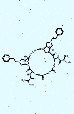 CN[C@@H](C)C(=O)NC1COC(=O)CCC(=O)OC[C@H](NC(=O)[C@H](N)NC)C(=O)N2C[C@@H](OCCO[C@@H]3CN(C1=O)C1CN(CCc4ccccc4)C[C@@H]13)C1CN(CCc3ccccc3)C[C@H]12